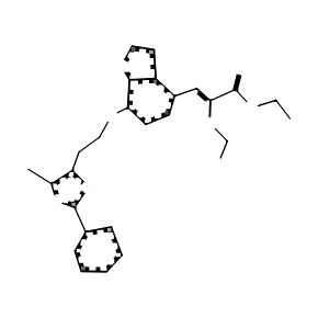 CCOC(=O)C(=Cc1ccc(OCCc2nc(-c3ccccc3)oc2C)c2occc12)OCC